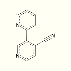 N#Cc1ccncc1-c1ccc[c]n1